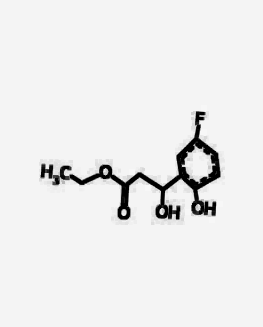 CCOC(=O)CC(O)c1cc(F)ccc1O